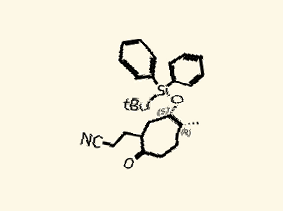 C[C@@H]1CCC(=O)C(CCC#N)C[C@@H]1O[Si](c1ccccc1)(c1ccccc1)C(C)(C)C